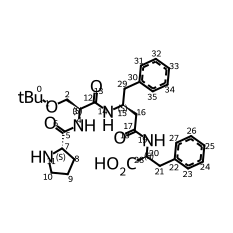 CC(C)(C)OC[C@H](NC(=O)[C@@H]1CCCN1)C(=O)N[C@H](CC(=O)N[C@@H](Cc1ccccc1)C(=O)O)Cc1ccccc1